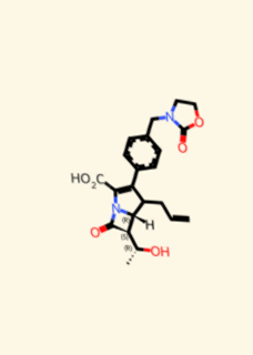 C=CCC1C(c2ccc(CN3CCOC3=O)cc2)=C(C(=O)O)N2C(=O)[C@H]([C@@H](C)O)[C@@H]12